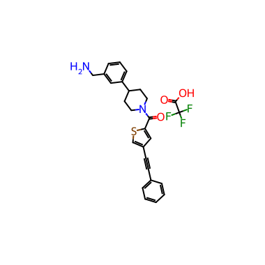 NCc1cccc(C2CCN(C(=O)c3cc(C#Cc4ccccc4)cs3)CC2)c1.O=C(O)C(F)(F)F